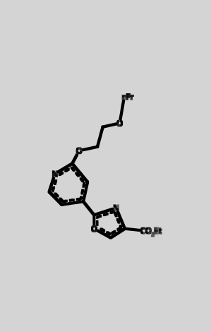 CCCOCCOc1cc(-c2nc(C(=O)OCC)co2)ccn1